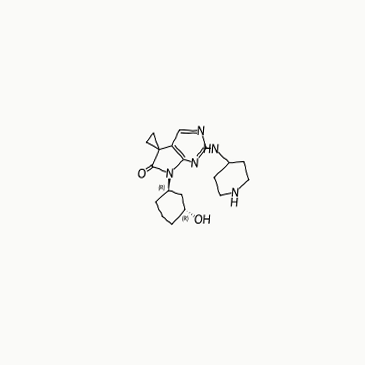 O=C1N([C@@H]2CCC[C@@H](O)C2)c2nc(NC3CCNCC3)ncc2C12CC2